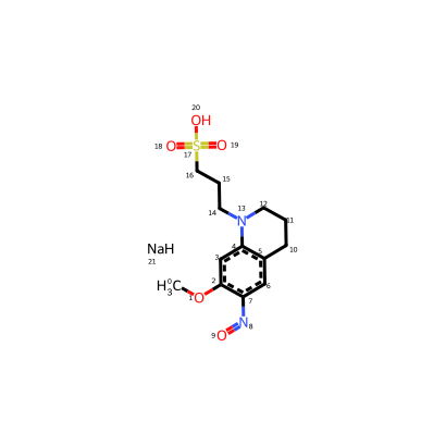 COc1cc2c(cc1N=O)CCCN2CCCS(=O)(=O)O.[NaH]